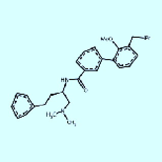 COc1c(CC(C)C)cccc1-c1cccc(C(=O)N[C@H](CCc2ccccc2)CN(C)C)c1